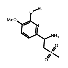 CCOc1nc(C(N)CS(C)(=O)=O)ccc1OC